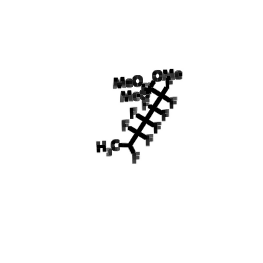 CO[Si](OC)(OC)C(F)(F)C(F)(F)C(F)(F)C(F)(F)C(C)F